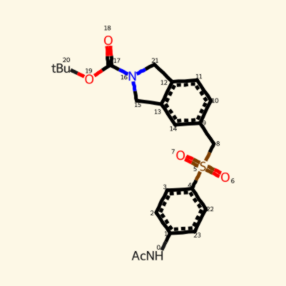 CC(=O)Nc1ccc(S(=O)(=O)Cc2ccc3c(c2)CN(C(=O)OC(C)(C)C)C3)cc1